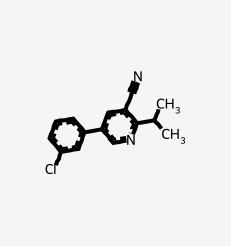 CC(C)c1ncc(-c2cccc(Cl)c2)cc1C#N